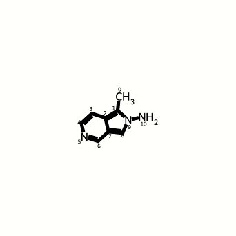 Cc1c2ccncc2cn1N